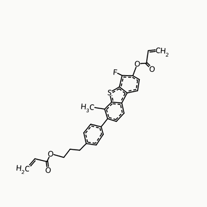 C=CC(=O)OCCCc1ccc(-c2ccc3c(sc4c(F)c(OC(=O)C=C)ccc43)c2C)cc1